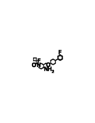 N[C@H]1CCN(C(=O)C2(F)CCC2)C[C@H]1COC1CCC(c2cccc(F)c2)CC1